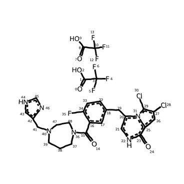 O=C(O)C(F)(F)F.O=C(O)C(F)(F)F.O=C(c1cc(Cc2c[nH]c(=O)c3cc(Cl)c(Cl)n23)ccc1F)N1CCCN(Cc2c[nH]cn2)CC1